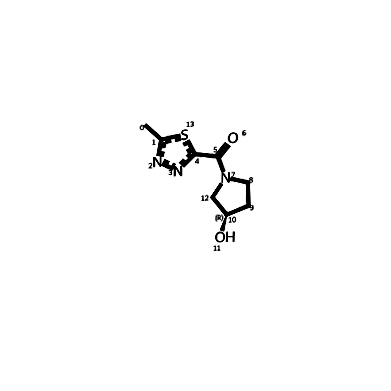 Cc1nnc(C(=O)N2CC[C@@H](O)C2)s1